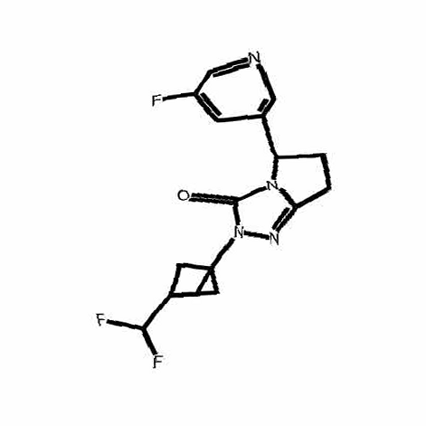 O=c1n(C23CC(C(F)F)(C2)C3)nc2n1C(c1cncc(F)c1)CC2